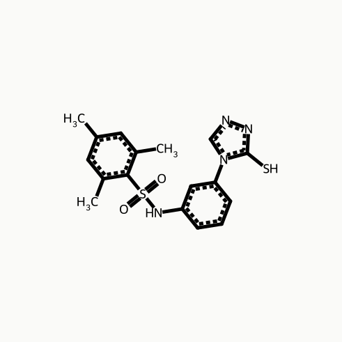 Cc1cc(C)c(S(=O)(=O)Nc2cccc(-n3cnnc3S)c2)c(C)c1